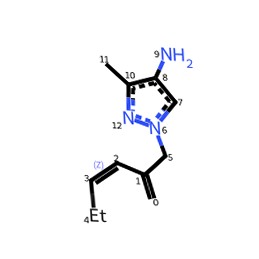 C=C(/C=C\CC)Cn1cc(N)c(C)n1